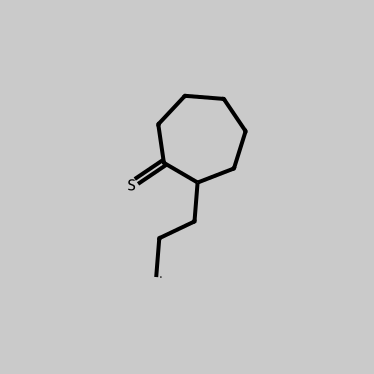 [CH2]CCC1CCCCCC1=S